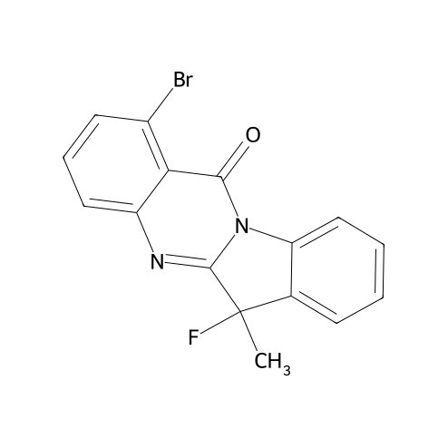 CC1(F)c2ccccc2-n2c1nc1cccc(Br)c1c2=O